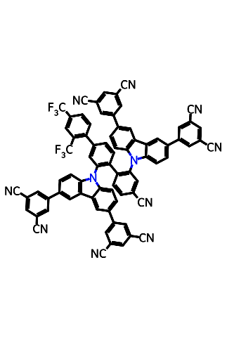 N#Cc1cc(C#N)cc(-c2ccc3c(c2)c2cc(-c4cc(C#N)cc(C#N)c4)ccc2n3-c2cc(C#N)ccc2-c2ccc(-c3ccc(C(F)(F)F)cc3C(F)(F)F)cc2-n2c3ccc(-c4cc(C#N)cc(C#N)c4)cc3c3cc(-c4cc(C#N)cc(C#N)c4)ccc32)c1